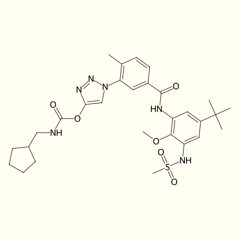 COc1c(NC(=O)c2ccc(C)c(-n3cc(OC(=O)NCC4CCCC4)nn3)c2)cc(C(C)(C)C)cc1NS(C)(=O)=O